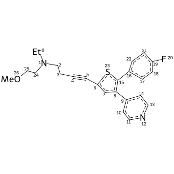 CCN(CCC#Cc1cc(-c2ccncc2)c(-c2ccc(F)cc2)s1)CCOC